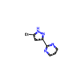 CCc1cc(-c2ncccn2)n[nH]1